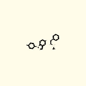 C[C@@H]([C@H](Oc1ccc2c(cnn2-c2ccc(F)cc2)c1)c1ccccc1)N(C)C(=O)O